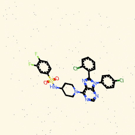 O=S(=O)(NC1CCN(c2ncnc3c2nc(-c2ccccc2Cl)n3-c2ccc(Cl)cc2)CC1)c1ccc(F)c(F)c1